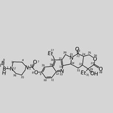 BBN1CCN(C(=O)Oc2ccc3nc4c(c(CC)c3c2)CN2C(=O)C3COC(=O)C(O)(CC)C3CC42)CC1